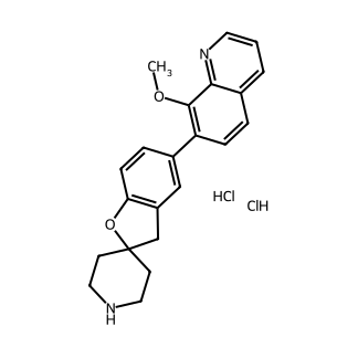 COc1c(-c2ccc3c(c2)CC2(CCNCC2)O3)ccc2cccnc12.Cl.Cl